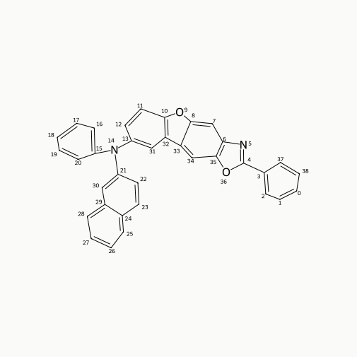 c1ccc(-c2nc3cc4oc5ccc(N(c6ccccc6)c6ccc7ccccc7c6)cc5c4cc3o2)cc1